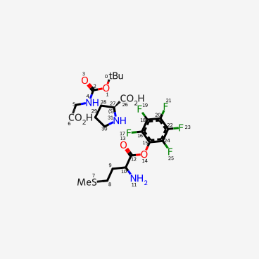 CC(C)(C)OC(=O)NCC(=O)O.CSCCC(N)C(=O)Oc1c(F)c(F)c(F)c(F)c1F.O=C(O)[C@@H]1CCCN1